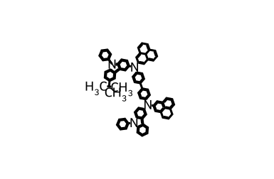 CC(C)(C)c1ccc2c(c1)c1cc(N(C3=CC4=CC=CC5=CC=CC(=C3)C54)c3ccc(-c4ccc(N(c5cc6c7c(cccc7c5)CC=C6)c5ccc6c(c5)c5ccccc5n6-c5ccccc5)cc4)cc3)ccc1n2-c1ccccc1